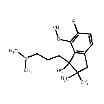 COc1c(F)ccc2c1C(O)(CCCN(C)C)C(C)(C)C2